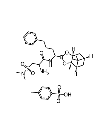 CN(C)S(=O)(=O)CC(N)C(=O)NC(CCCc1ccccc1)B1O[C@@H]2C[C@@H]3C[C@@H](C3(C)C)[C@]2(C)O1.Cc1ccc(S(=O)(=O)O)cc1